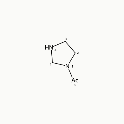 [CH2]C(=O)N1CCNC1